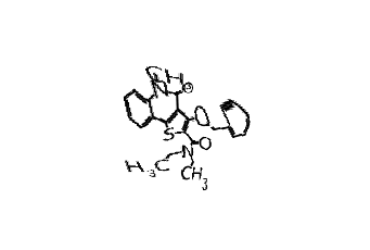 CCN(CC)C(=O)c1sc2c(c1OCc1ccccc1)c(=O)n(C)c1ccccc21